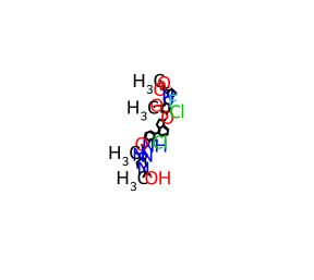 COC(=O)[C@@H]1CCCN1Cc1c(OC)cc(OC2CCc3c(-c4cccc(NC(=O)c5nc6c(n5C)CCN(C(C)CO)C6)c4Cl)cccc32)c(Cl)c1F